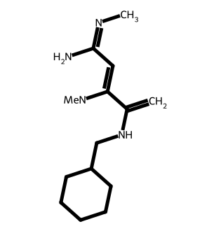 C=C(NCC1CCCCC1)/C(=C/C(N)=N\C)NC